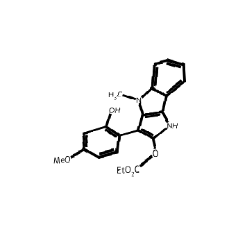 CCOC(=O)Oc1[nH]c2c3ccccc3n(C)c2c1-c1ccc(OC)cc1O